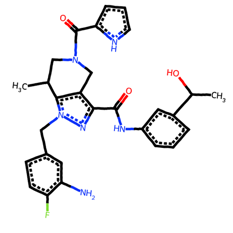 CC(O)c1cccc(NC(=O)c2nn(Cc3ccc(F)c(N)c3)c3c2CN(C(=O)c2ccc[nH]2)CC3C)c1